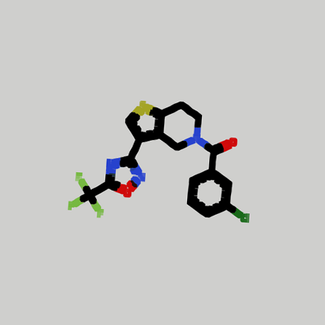 O=C(c1cccc(Cl)c1)N1CCc2scc(-c3noc(C(F)(F)F)n3)c2C1